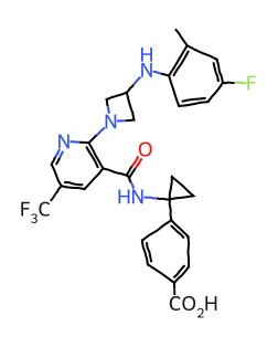 Cc1cc(F)ccc1NC1CN(c2ncc(C(F)(F)F)cc2C(=O)NC2(c3ccc(C(=O)O)cc3)CC2)C1